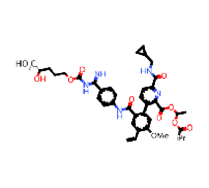 C=Cc1cc(C(=O)Nc2ccc(C(=N)NC(=O)OCCC[C@H](O)C(=O)O)cc2)c(-c2ccc(C(=O)NCC3CC3)nc2C(=O)OC(C)OC(=O)C(C)C)cc1OC